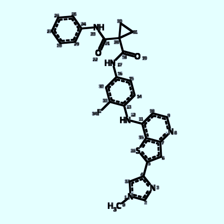 Cn1cnc(-c2cc3nccc(Nc4ccc(NC(=O)C5(C(=O)Nc6ccccc6)CC5)cc4F)c3s2)c1